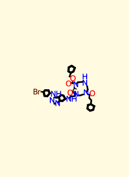 O=C(CN1CCN(C(=O)CCc2ccccc2)CCNCCN(C(=O)OCc2ccccc2)CC1)Nc1ccc2c(Nc3ccc(Br)cc3)ncnc2c1